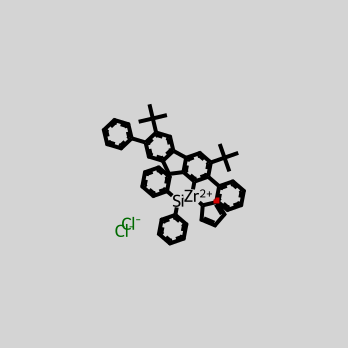 CC(C)(C)c1cc2c(cc1-c1ccccc1)Cc1c-2cc(C(C)(C)C)c(-c2ccccc2)[c]1[Zr+2]([CH]1C=CC=C1)=[Si](c1ccccc1)c1ccccc1.[Cl-].[Cl-]